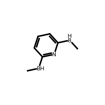 CBc1cccc(BC)n1